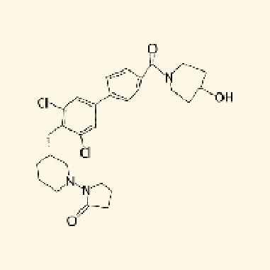 O=C(c1ccc(-c2cc(Cl)c(C[C@H]3CCCN(N4CCCC4=O)C3)c(Cl)c2)cc1)N1CCC(O)CC1